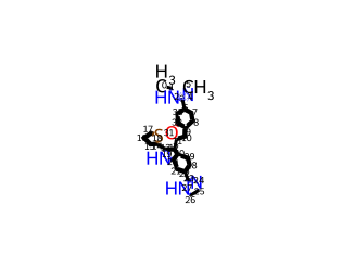 CCN/C(=N\C)c1ccc2cc(-c3c(-c4cccs4)[nH]c4cc(C5=NCCN5)ccc34)oc2c1